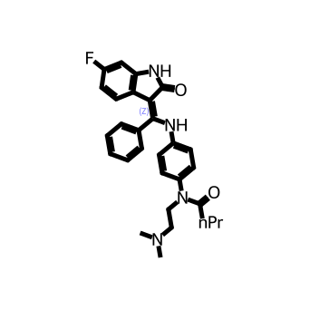 CCCC(=O)N(CCN(C)C)c1ccc(N/C(=C2\C(=O)Nc3cc(F)ccc32)c2ccccc2)cc1